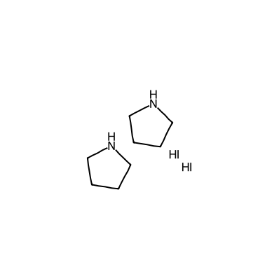 C1CCNC1.C1CCNC1.I.I